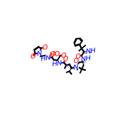 CN[C@H](C(=O)N[C@@H](CC(C)(C)C)C(=O)N(C)[C@H](/C=C(\C)C(=O)NC(CC(=O)NCCN1C(=O)C=CC1=O)C(=O)O)C(C)C)C(C)(C)c1ccccc1